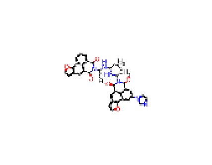 CCC(NC(C)N1C(=O)c2cccc3c2c(cc2ccoc23)C1=O)NC(C)N1C(=O)c2cc(-n3ccnc3)cc3c2c(cc2ccoc23)C1=O